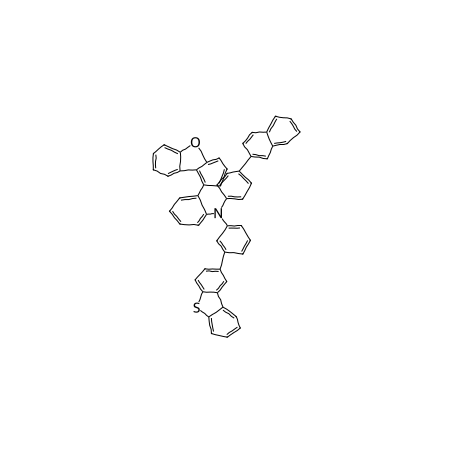 c1cc(-c2ccc3sc4ccccc4c3c2)cc(N(c2ccc(-c3ccc4ccccc4c3)cc2)c2ccccc2-c2cccc3oc4ccccc4c23)c1